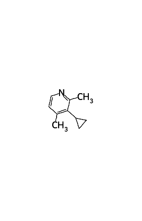 Cc1ccnc(C)c1C1CC1